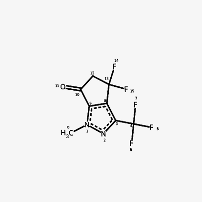 Cn1nc(C(F)(F)F)c2c1C(=O)CC2(F)F